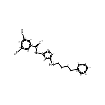 O=C(Nc1nnc(NCCCCc2ccccc2)s1)c1cc(F)cc(F)c1